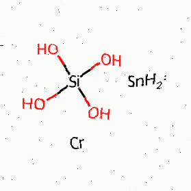 O[Si](O)(O)O.[Cr].[SnH2]